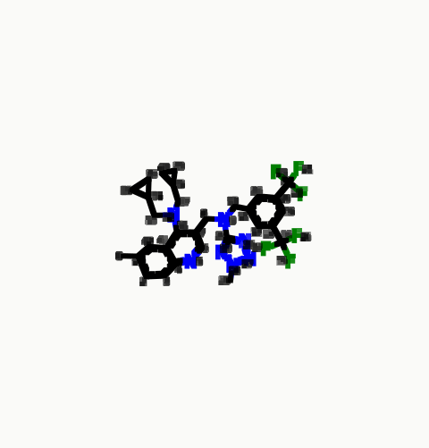 Cc1ccc2ncc(CN(Cc3cc(C(F)(F)F)cc(C(F)(F)F)c3)c3nnn(C)n3)c(N(CC3CC3)CC3CC3)c2c1